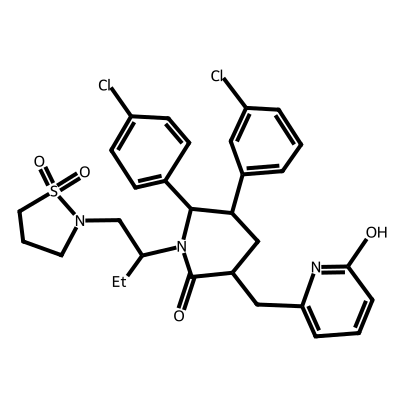 CCC(CN1CCCS1(=O)=O)N1C(=O)C(Cc2cccc(O)n2)CC(c2cccc(Cl)c2)C1c1ccc(Cl)cc1